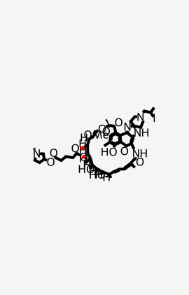 CO[C@H]1/C=C/O[C@@]2(C)Oc3c(C)c(O)c4c(c3C2=O)C2=NC3(CCN(CC(C)I)CC3)NC2=C(NC(=O)/C(C)=C\C=C\[C@H](C)[C@H](O)[C@@H](C)[C@@H](O)[C@@H](C)[C@H](OC(=O)CCCC(=O)OC2CCN(C)C2)[C@@H]1C)C4=O